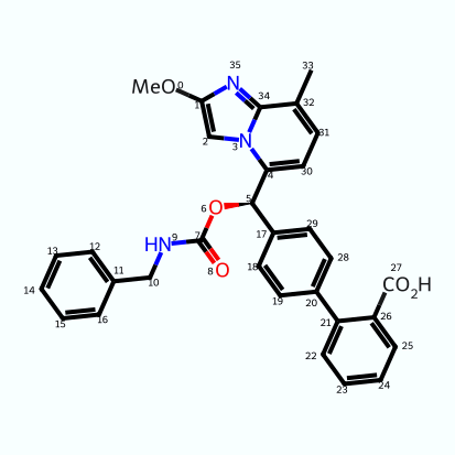 COc1cn2c([C@H](OC(=O)NCc3ccccc3)c3ccc(-c4ccccc4C(=O)O)cc3)ccc(C)c2n1